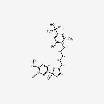 CCCc1cc(C(O)(C(F)(F)F)C(F)(F)F)cc(CCC)c1OCCCCN1C=NC(C)(c2ccc(OC(C)C)c(F)c2)C1